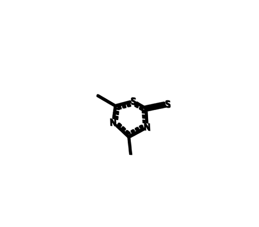 Cc1nc(C)sc(=S)n1